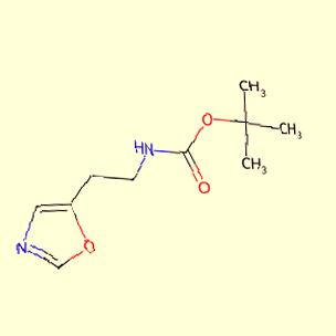 CC(C)(C)OC(=O)NCCc1cnco1